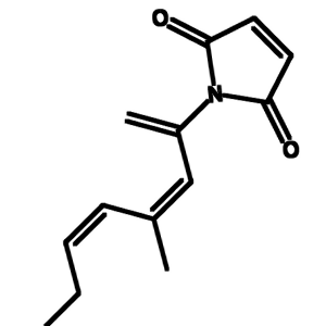 C=C(/C=C(C)\C=C/CC)N1C(=O)C=CC1=O